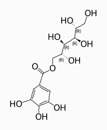 O=C(OC[C@@H](O)[C@@H](O)[C@H](O)[C@H](O)CO)c1cc(O)c(O)c(O)c1